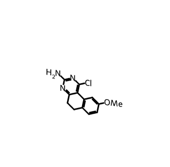 COc1ccc2c(c1)-c1c(Cl)nc(N)nc1CC2